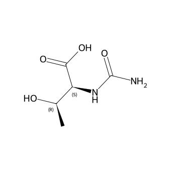 C[C@@H](O)[C@H](NC(N)=O)C(=O)O